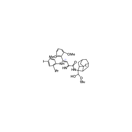 COc1cccc(OC)c1/C(=C/C(=N)C(=O)NC1(C(O)OC(C)(C)C)C2CC3CC4CC1C2(C3)C4)Nc1ccc(I)cc1C(C)C